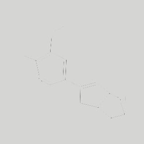 COc1cc(C2=CC3NCCC3C2)cnc1Cl